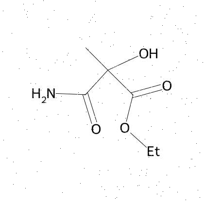 CCOC(=O)C(C)(O)C(N)=O